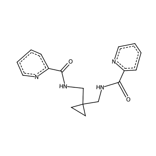 O=C(NCC1(CNC(=O)c2ccccn2)CC1)c1ccccn1